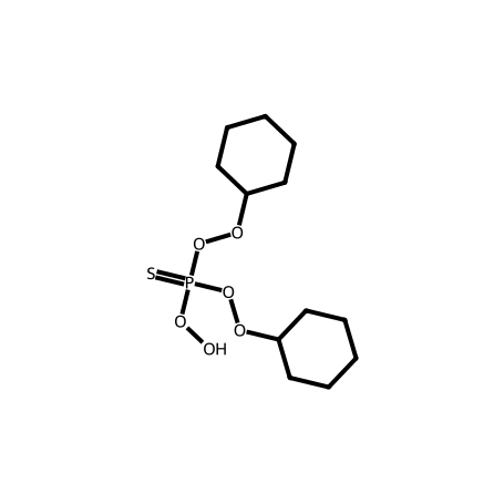 OOP(=S)(OOC1CCCCC1)OOC1CCCCC1